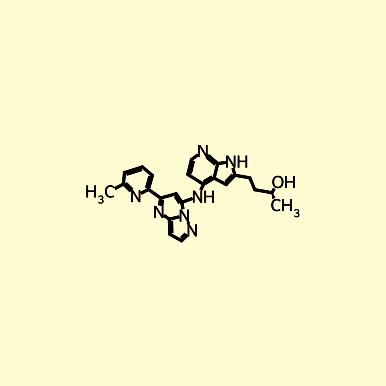 Cc1cccc(-c2cc(Nc3ccnc4[nH]c(CC[C@H](C)O)cc34)n3nccc3n2)n1